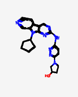 OC1CCN(c2ccc(Nc3ncc4c5ccncc5n(C5CCCC5)c4n3)nn2)C1